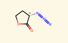 [N-]=[N+]=N[C@H]1CCOC1=O